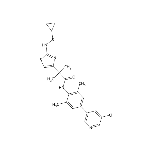 Cc1cc(-c2cncc(Cl)c2)cc(C)c1NC(=O)C(C)(C)c1csc(NSC2CC2)n1